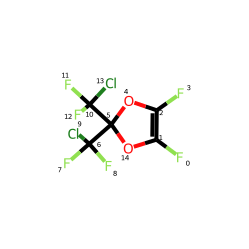 FC1=C(F)OC(C(F)(F)Cl)(C(F)(F)Cl)O1